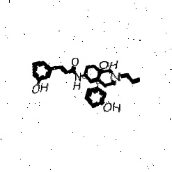 C=CCN1CC[C@@]2(c3cccc(O)c3)C[C@@H](NC(=O)C=Cc3cccc(O)c3)CC[C@]2(O)C1